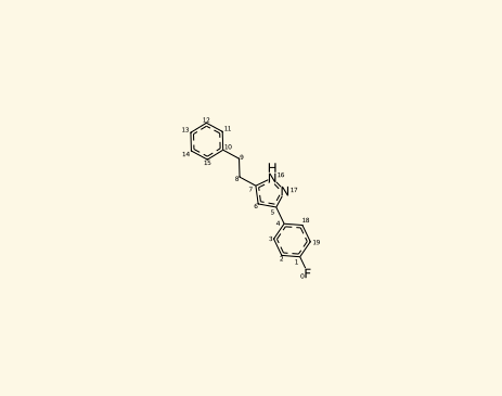 Fc1ccc(-c2cc(CCc3ccccc3)[nH]n2)cc1